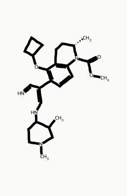 COC(=O)N1c2ccc(/C(C=N)=C/NC3CCN(C)CC3C)c(OC3CCC3)c2CC[C@@H]1C